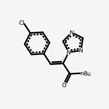 CCCCC(=O)/C(=C/c1ccc(Cl)cc1)n1cncn1